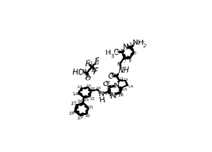 Cc1nc(N)ccc1CNC(=O)C1CCc2cnc(NCc3cccc(-c4ccccc4)c3)c(=O)n21.O=C(O)C(F)(F)F